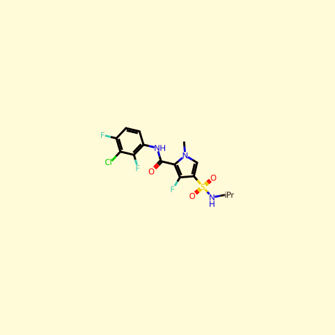 CC(C)NS(=O)(=O)c1cn(C)c(C(=O)Nc2ccc(F)c(Cl)c2F)c1F